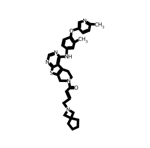 Cc1ccc(Oc2ccc(Nc3ncnc4sc5c(c34)CCN(C(=O)/C=C/CN3CC4(CCCC4)C3)C5)cc2C)cn1